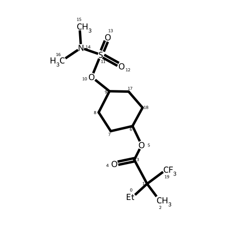 CCC(C)(C(=O)OC1CCC(OS(=O)(=O)N(C)C)CC1)C(F)(F)F